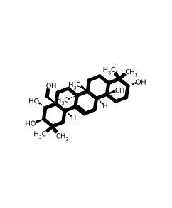 CC1(C)C[C@@H]2C3=CC[C@@H]4[C@@]5(C)CC[C@@H](O)C(C)(C)C5CC[C@@]4(C)[C@]3(C)CC[C@@]2(CO)[C@@H](O)[C@@H]1O